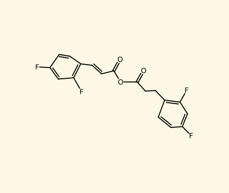 O=C(C=Cc1ccc(F)cc1F)OC(=O)CCc1ccc(F)cc1F